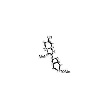 CNC1=C(c2cc3ccc(OC)cc3o2)N=C2C=C(C#N)C=CC21